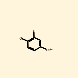 [CH2]Nc1ccc(Cl)c(Cl)c1